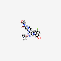 CCc1c(F)ccc2cc(O)cc(N3CCc4c(nc(OC[C@@]56CCCN5C[C@H](F)C6)nc4N4CCCn5nc(C(=O)N6CCC7CC6CO7)cc5C4)C3)c12